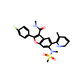 CNC(=O)c1c(-c2ccc(F)cc2)oc2cc(N(C)S(C)(=O)=O)c(C3=C(C)C=CCN3)cc12